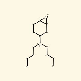 CCCC[SiH](OCCC)C1CCC2OC2C1